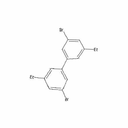 CCc1[c]c(-c2[c]c(CC)cc(Br)c2)cc(Br)c1